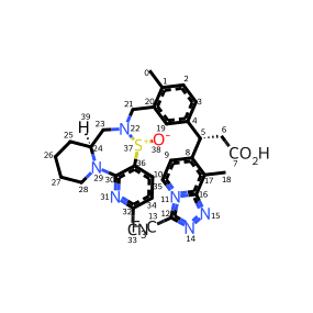 Cc1ccc([C@H](CC(=O)O)c2ccn3c(C(F)(F)F)nnc3c2C)cc1CN1C[C@@H]2CCCCN2c2nc(C#N)ccc2[S+]1[O-]